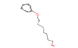 OCCCCCCCCOc1ccccc1